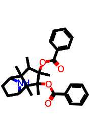 CC1C(C)(OC(=O)c2ccccc2)C(C)(OC(=O)c2ccccc2)C2(C)C3CCC(N3)C12C